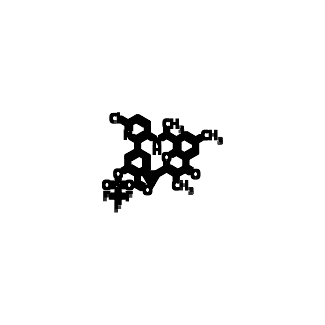 Cc1cc(C(C)Nc2ccc(Cl)nc2-c2ccc(C=O)c(OS(=O)(=O)C(F)(F)F)c2)c2oc(C3CC3)c(C)c(=O)c2c1